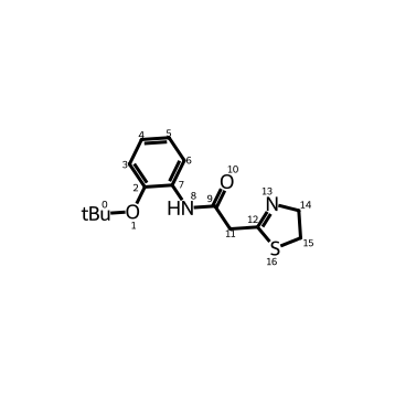 CC(C)(C)Oc1ccccc1NC(=O)CC1=NCCS1